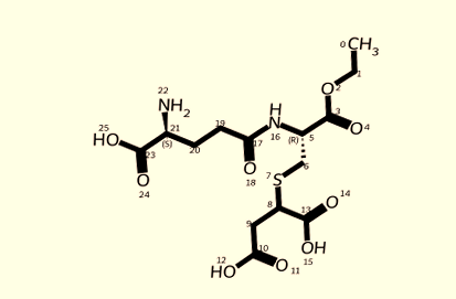 CCOC(=O)[C@H](CSC(CC(=O)O)C(=O)O)NC(=O)CC[C@H](N)C(=O)O